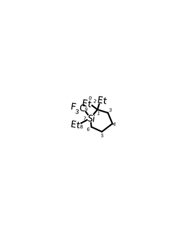 CCC1(CC)CCCC[Si]1(CC)C(F)(F)F